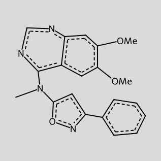 COc1cc2ncnc(N(C)c3cc(-c4ccccc4)no3)c2cc1OC